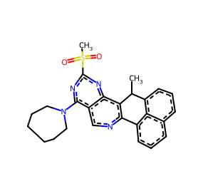 CC1c2c(ncc3c(N4CCCCCC4)nc(S(C)(=O)=O)nc23)-c2cccc3cccc1c23